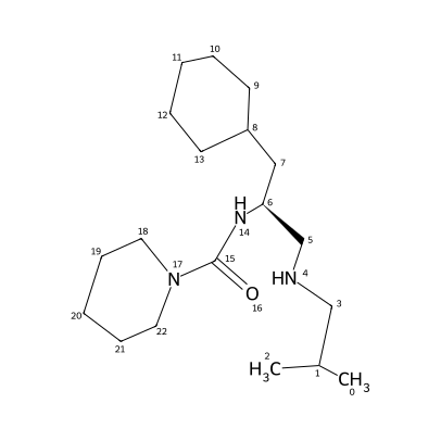 CC(C)CNC[C@H](CC1CCCCC1)NC(=O)N1CCCCC1